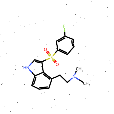 CN(C)CCc1cccc2[nH]cc(S(=O)(=O)c3cccc(F)c3)c12